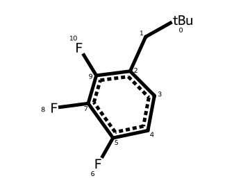 CC(C)(C)Cc1ccc(F)c(F)c1F